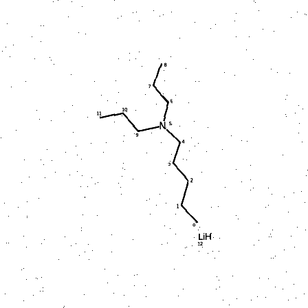 CCCCCN(CCC)CCC.[LiH]